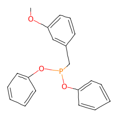 COc1cccc(CP(Oc2ccccc2)Oc2ccccc2)c1